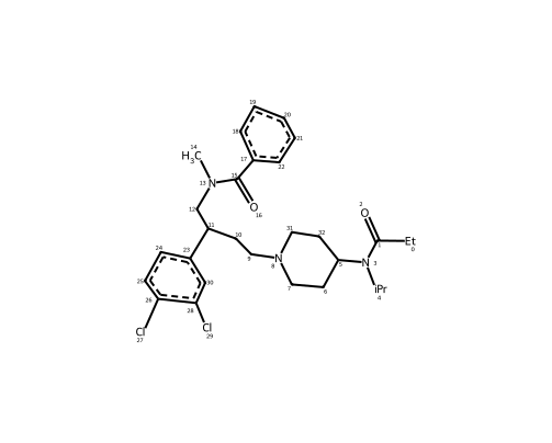 CCC(=O)N(C(C)C)C1CCN(CCC(CN(C)C(=O)c2ccccc2)c2ccc(Cl)c(Cl)c2)CC1